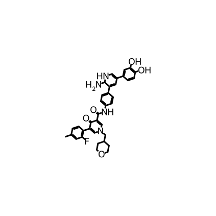 Cc1ccc(-c2cn(CC3CCOCC3)cc(C(=O)Nc3ccc(C4=CC(c5ccc(O)c(O)c5)=CNC4N)cc3)c2=O)c(F)c1